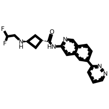 O=C(Nc1cc2cc(-c3cccnn3)ccc2cn1)[C@H]1C[C@H](NCC(F)F)C1